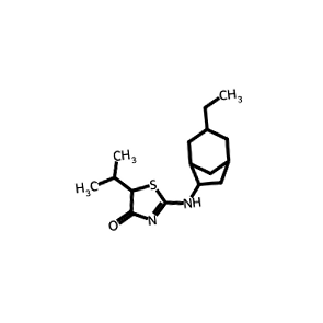 CCC1CC2CC(C1)C(NC1=NC(=O)C(C(C)C)S1)C2